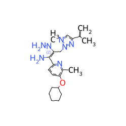 C=C(C)c1cnn(C/C(=C(/N)c2ccc(OC3CCCCC3)c(C)n2)N(C)N)n1